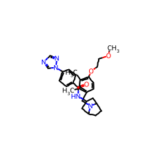 COCCOc1ccc(CN2C3CCC2CC(NC(=O)c2ccc(-n4cncn4)cc2)C3)c(C)c1C